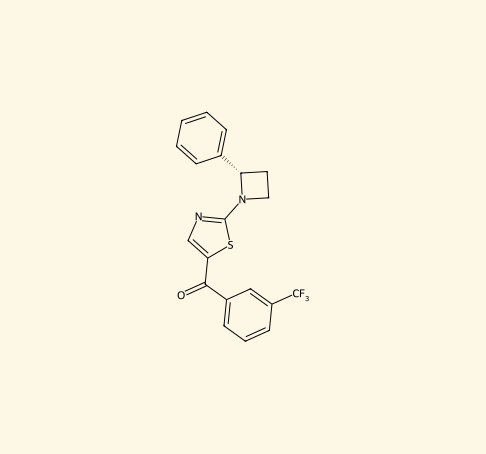 O=C(c1cccc(C(F)(F)F)c1)c1cnc(N2CC[C@H]2c2ccccc2)s1